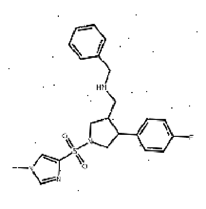 Cn1cnc(S(=O)(=O)N2CC(CNCc3ccccc3)C(c3ccc(F)cc3)C2)c1